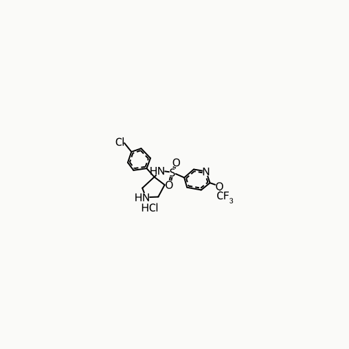 Cl.O=S(=O)(NC1(c2ccc(Cl)cc2)CCNC1)c1ccc(OC(F)(F)F)nc1